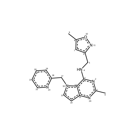 Cc1nc(NCc2cc(C)on2)c2c(ccn2Cc2ccccn2)n1